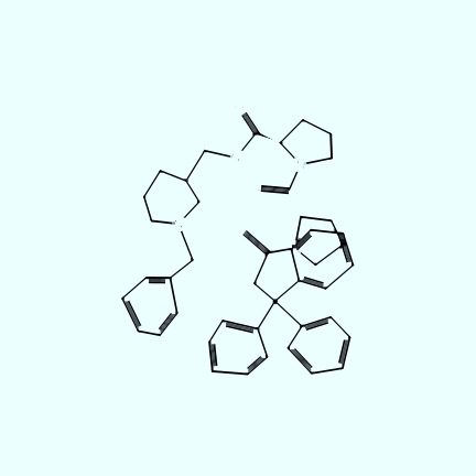 O=C(NCC1CCCN(Cc2ccccc2)C1)[C@H]1CCCN1C(=O)[C@@H]1CCCN1C(=O)CC(c1ccccc1)(c1ccccc1)c1ccccc1